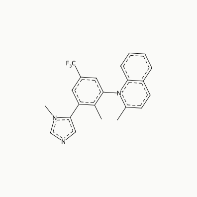 Cc1c(-c2cncn2C)cc(C(F)(F)F)cc1-[n+]1c(C)ccc2ccccc21